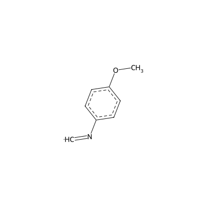 [CH]=Nc1ccc(OC)cc1